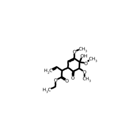 C=CC(C(=O)OCC)C1C=C(OC)C(O)(OC)C(OC)C1=O